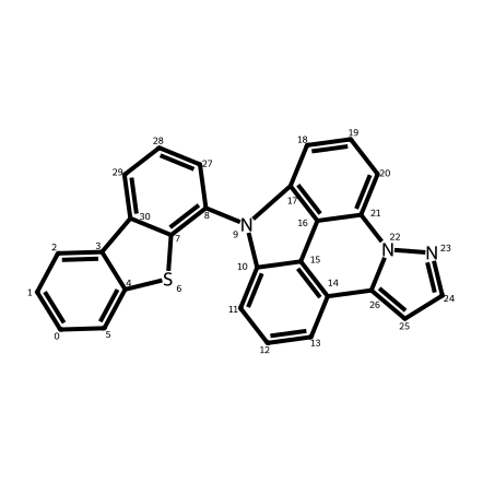 c1ccc2c(c1)sc1c(-n3c4cccc5c4c4c3cccc4n3nccc53)cccc12